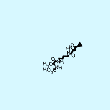 CC(NC(=O)O)C(=O)NCCCCNC(=O)c1cc(C2CC2)on1